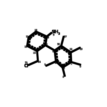 Cc1c(C)c(C)c(-c2c([SiH3])cccc2CCl)c(C)c1C